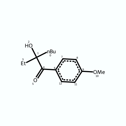 CCCCC(O)(CC)C(=O)c1ccc(OC)cc1